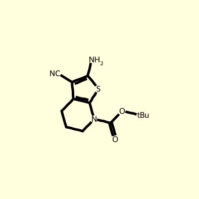 CC(C)(C)OC(=O)N1CCCc2c1sc(N)c2C#N